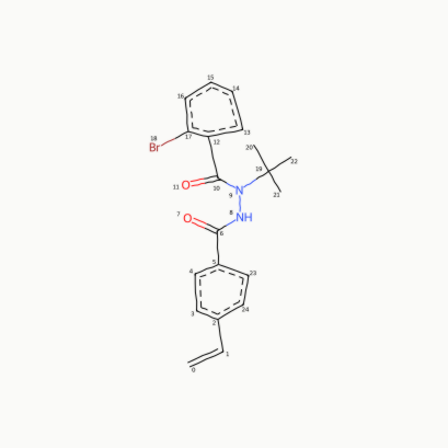 C=Cc1ccc(C(=O)NN(C(=O)c2ccccc2Br)C(C)(C)C)cc1